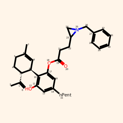 C=C(C)[C@@H]1CCC(C)=C[C@H]1c1c(O)cc(CCCCC)cc1OC(=O)CCC1CN1Cc1ccccc1